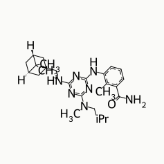 Cc1c(Nc2nc(NCC3C[C@H]4C[C@H](C3)C4(C)C)nc(N(C)CC(C)C)n2)cccc1C(N)=O